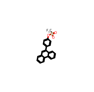 O=S(=O)(Oc1ccc(-c2cc3ccccc3c3ccccc23)cc1)C(F)(F)F